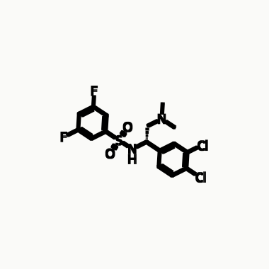 CN(C)C[C@@H](NS(=O)(=O)c1cc(F)cc(F)c1)c1ccc(Cl)c(Cl)c1